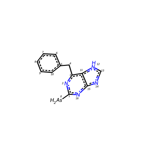 [AsH2]c1nc(Cc2ccccc2)c2[nH]cnc2n1